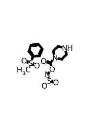 CS(=O)(=O)c1ccccc1.O=C(ON=S(=O)=O)N1CCNCC1